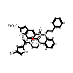 CCOC(=O)c1cc2cc(S(=O)(=O)N(CCc3ccccc3)c3ccccc3N3CCN(C(=O)c4cc(Br)cs4)CC3)ccc2o1